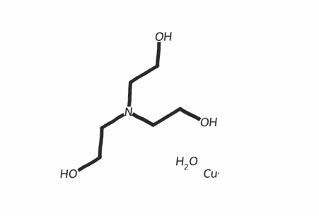 O.OCCN(CCO)CCO.[Cu]